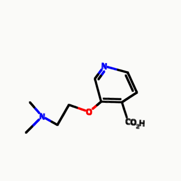 CN(C)CCOc1cnccc1C(=O)O